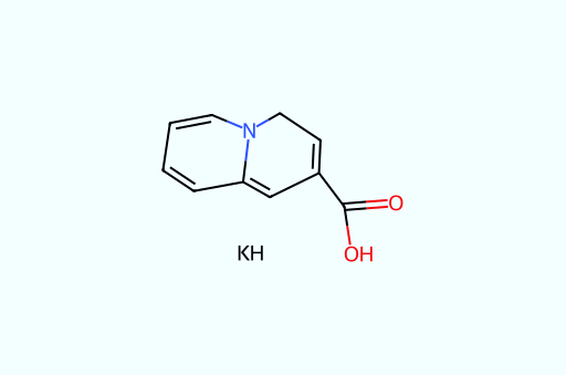 O=C(O)C1=CCN2C=CC=CC2=C1.[KH]